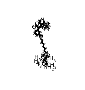 CC(C)(N)CC(N)C(C)(C)S(=O)(=O)CCCCCCCCOc1cccc(-c2cc3c(S(=O)(=O)C(F)(F)F)cncc3oc2=O)c1